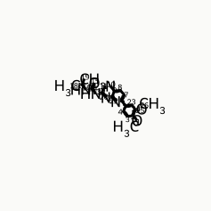 COc1ccc(-c2ccc3ncc(NC(=O)NC(C)C)nc3n2)cc1OC